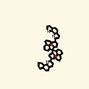 c1ccc2c(C(c3ccc(-c4ccc5ccc6ccccc6c5n4)cc3)(c3ccc(-c4ccc5ccc6cccnc6c5n4)cc3)c3cccc4ccccc34)cccc2c1